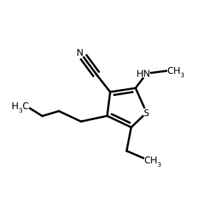 CCCCc1c(CC)sc(NC)c1C#N